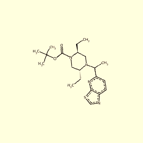 CC[C@H]1CN(C(C)c2ccc3ncsc3n2)[C@H](CC)CN1C(=O)OC(C)(C)C